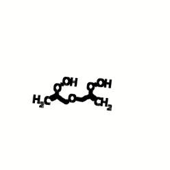 C=C(COCC(=C)OO)OO